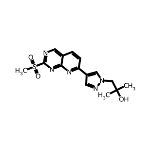 CC(C)(O)Cn1cc(-c2ccc3cnc(S(C)(=O)=O)nc3n2)cn1